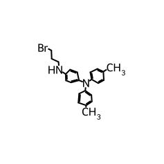 Cc1ccc(N(c2ccc(C)cc2)c2ccc(NCCCBr)cc2)cc1